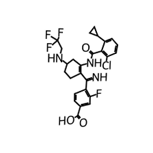 N=C(C1=C(NC(=O)c2c(Cl)cccc2C2CC2)CC(NCC(F)(F)F)CC1)c1ccc(C(=O)O)cc1F